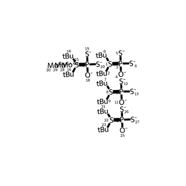 CC(C)(C)S(C(C)(C)C)=P([O-])([S-])[S-].CC(C)(C)S(C(C)(C)C)=P([O-])([S-])[S-].CC(C)(C)S(C(C)(C)C)=P([O-])([S-])[S-].CC(C)(C)S(C(C)(C)C)=P([O-])([S-])[S-].[Mo+4].[Mo+4].[Mo+4]